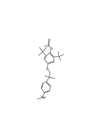 CNc1ccc([Si](C)(C)COc2cc(C(C)(C)C)c(OC(C)=O)c(C(C)(C)C)c2)cc1